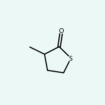 CC1CCSC1=O